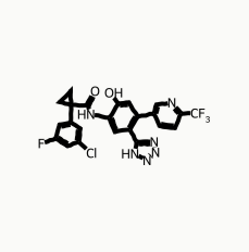 O=C(Nc1cc(-c2nnn[nH]2)c(-c2ccc(C(F)(F)F)nc2)cc1O)C1(c2cc(F)cc(Cl)c2)CC1